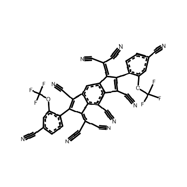 N#CC(C#N)=C1C(c2ccc(C#N)cc2OC(F)(F)F)=C(C#N)c2c1cc1c(c2C#N)C(=C(C#N)C#N)C(c2ccc(C#N)cc2OC(F)(F)F)=C1C#N